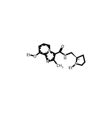 CCOc1cccn2c(C(=O)NC[C@H]3CCCN3CC)c(C)nc12